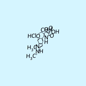 CCNCc1cc2cc3c(cc2n1C)OCC(C)c1c-3[nH]c(=O)c(C(=O)O)c1O.Cl